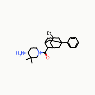 CCC12CC3CC(c4ccccc4)(CC(C1)C3C(=O)N1CC[C@H](N)C(C)(C)C1)C2